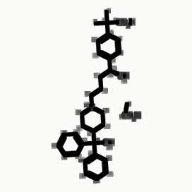 CC(=O)O.CC(C)(C(=O)O)c1ccc([C@@H](O)CCCN2CCC(C(O)(c3ccccc3)c3ccccc3)CC2)cc1